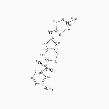 Cc1cccc(S(=O)(=O)N2CCc3sc(OC4CCN(C(C)C)CC4)cc3C2)c1